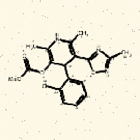 COC(=O)OC1=C(C)NC(C)=C(c2nc(C)no2)C1c1ccccc1Cl